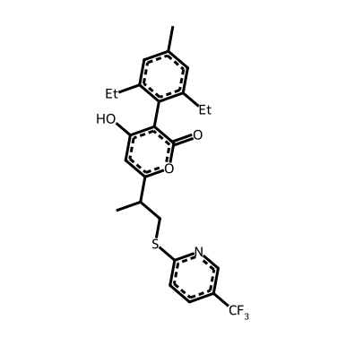 CCc1cc(C)cc(CC)c1-c1c(O)cc(C(C)CSc2ccc(C(F)(F)F)cn2)oc1=O